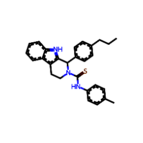 CCCc1ccc(C2c3[nH]c4ccccc4c3CCN2C(=S)Nc2ccc(C)cc2)cc1